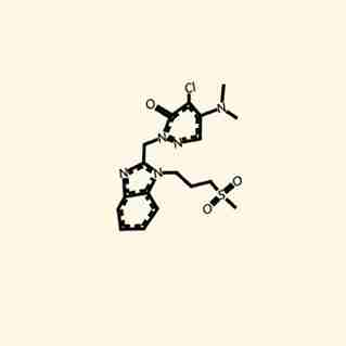 CN(C)c1cnn(Cc2nc3ccccc3n2CCCS(C)(=O)=O)c(=O)c1Cl